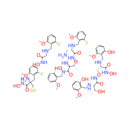 COc1cccc(F)c1CNCC(=O)NO.COc1cccc(F)c1CN[C@@H](CN)C(=O)NO[C@H](C)C(=N)C(=O)N(O)Cc1c(F)cccc1OC.COc1cccc(F)c1C[C@](N)(CS)C(=O)NO.COc1cccc(O)c1CN[C@@H](CONC(=O)[C@@H](NCc1c(O)cccc1OC)[C@@H](C)O)C(=O)NO